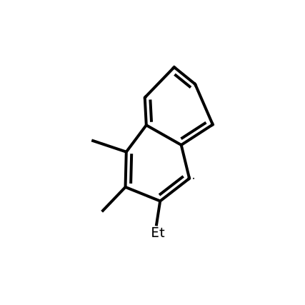 CCc1[c]c2ccccc2c(C)c1C